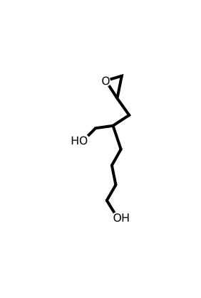 OCCCCC(CO)CC1CO1